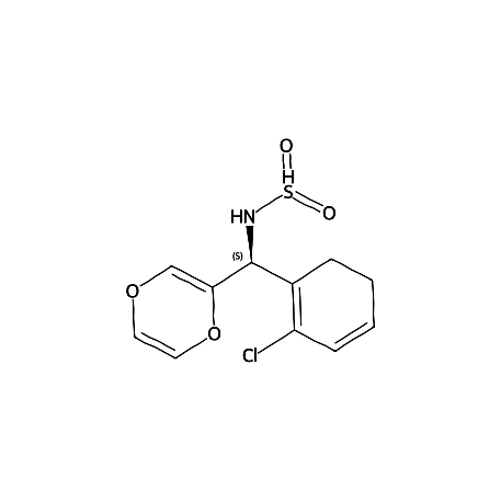 O=[SH](=O)N[C@H](C1=COC=CO1)C1=C(Cl)C=CCC1